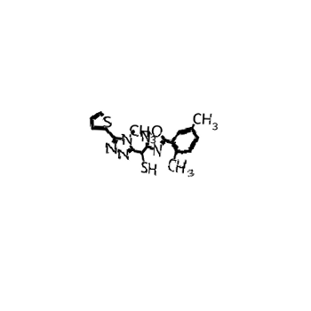 Cc1ccc(C)c(-c2nc(C(S)c3nnc(-c4cccs4)n3C)no2)c1